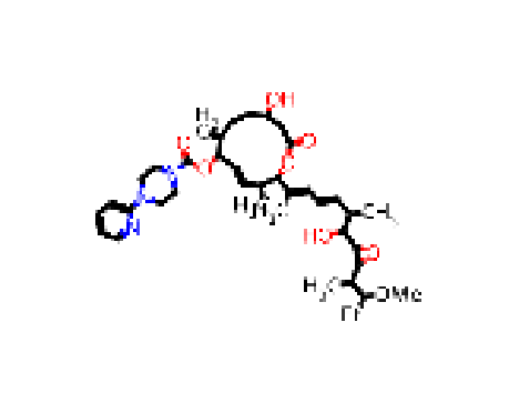 C=C1CCC(O)CC(=O)OC(/C(C)=C/C=C/C(C)C(O)C2OC2C(C)C(CC)OC)C(C)/C=C/C1OC(=O)N1CCN(c2ccccn2)CC1